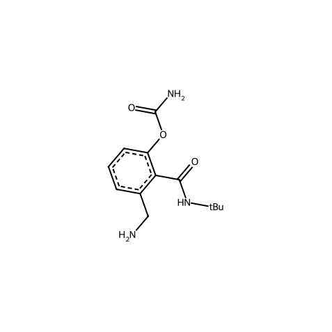 CC(C)(C)NC(=O)c1c(CN)cccc1OC(N)=O